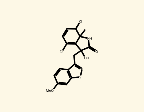 COc1ccc2c(CC3(O)C(=O)NC4(C)C3=C(Cl)C=CC4Cl)nsc2c1